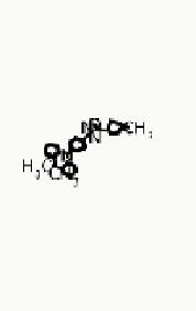 Cc1ccc(-c2nc(-c3ccc(N4c5ccccc5C(C)(C)c5ccccc54)cc3)no2)cc1